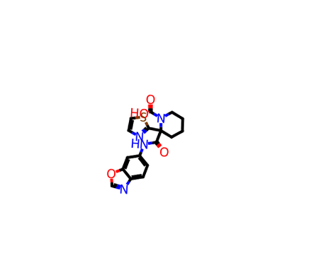 O=C(O)N1CCCCC1(C(=O)Nc1ccc2ncoc2c1)c1nccs1